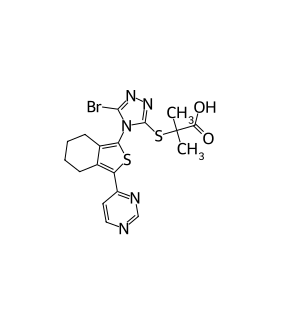 CC(C)(Sc1nnc(Br)n1-c1sc(-c2ccncn2)c2c1CCCC2)C(=O)O